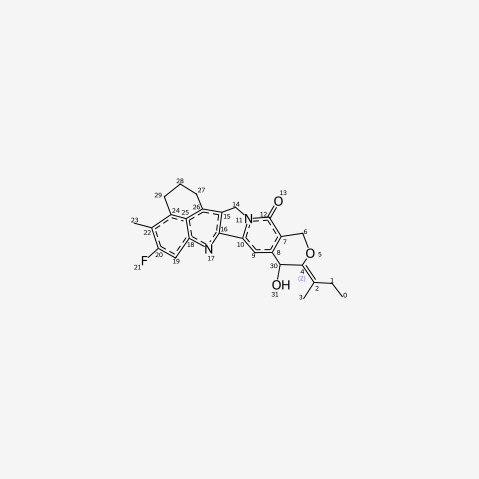 CC/C(C)=C1\OCc2c(cc3n(c2=O)Cc2c-3nc3cc(F)c(C)c4c3c2CCC4)C1O